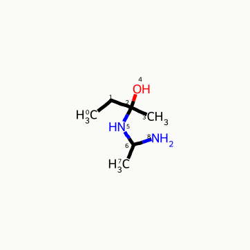 CCC(C)(O)NC(C)N